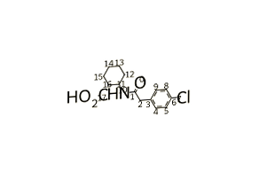 O=C(Cc1ccc(Cl)cc1)N[C@H]1CCCC[C@H]1C(=O)O